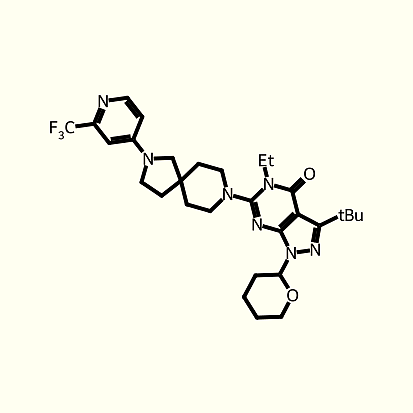 CCn1c(N2CCC3(CCN(c4ccnc(C(F)(F)F)c4)C3)CC2)nc2c(c(C(C)(C)C)nn2C2CCCCO2)c1=O